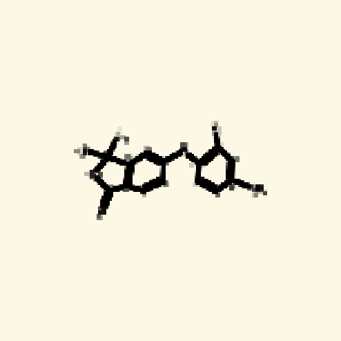 CC1(C)NC(=O)c2ccc(Oc3ccc(N)cc3Cl)cc21